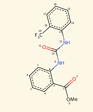 COC(=O)c1ccccc1NC(=O)Nc1ccccc1C(F)(F)F